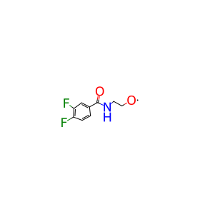 [O]CCNC(=O)c1ccc(F)c(F)c1